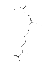 CSC(=O)ON=C(C)NCCCC[C@H](N)C(=O)O